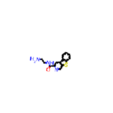 NCCNC(=O)c1cc2c(cn1)sc1ccccc12